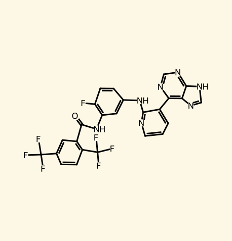 O=C(Nc1cc(Nc2ncccc2-c2ncnc3[nH]cnc23)ccc1F)c1cc(C(F)(F)F)ccc1C(F)(F)F